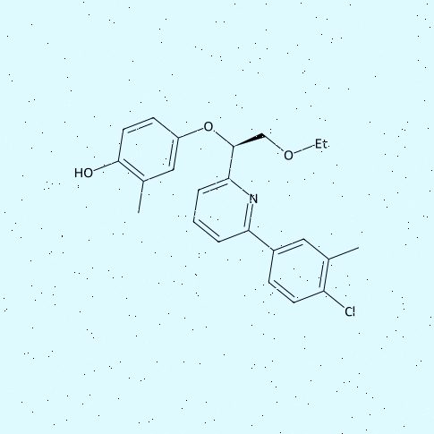 CCOC[C@H](Oc1ccc(O)c(C)c1)c1cccc(-c2ccc(Cl)c(C)c2)n1